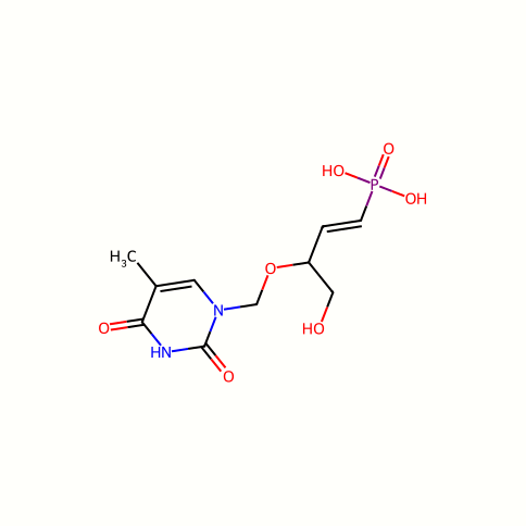 Cc1cn(COC(/C=C/P(=O)(O)O)CO)c(=O)[nH]c1=O